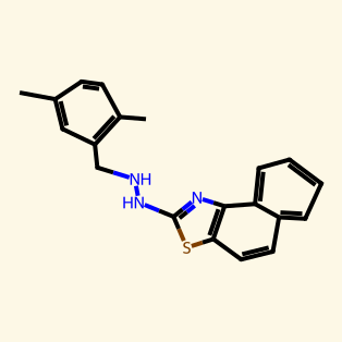 Cc1ccc(C)c(CNNc2nc3c(ccc4ccccc43)s2)c1